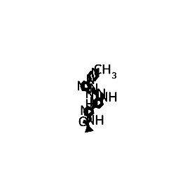 CN1CCN(c2cncc3[nH]c(-c4n[nH]c5ccc(-c6cncc(NC(=O)C7CC7)c6)nc45)nc23)CC1